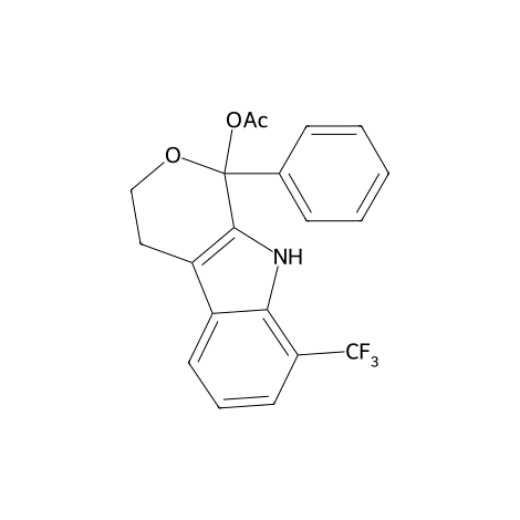 CC(=O)OC1(c2ccccc2)OCCc2c1[nH]c1c(C(F)(F)F)cccc21